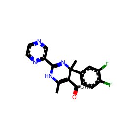 COC(=O)C1=C(C)NC(c2cnccn2)=NC1(C)c1ccc(F)c(F)c1